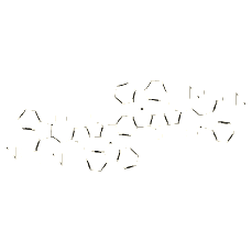 N#CC(C#N)=C1/C(=C/c2cc3sc4c(c3s2)C(c2ccccc2)(c2ccccc2)c2cc3c(cc2-4)C(c2ccccc2)(c2ccccc2)c2c-3sc3cc(/C=C4\C(=O)c5ccccc5C4=C(C#N)C#N)sc23)C(=O)c2ccccc21